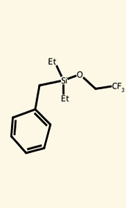 CC[Si](CC)(Cc1ccccc1)OCC(F)(F)F